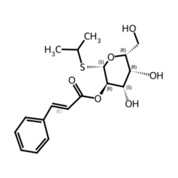 CC(C)S[C@@H]1O[C@H](CO)[C@H](O)[C@H](O)[C@H]1OC(=O)/C=C/c1ccccc1